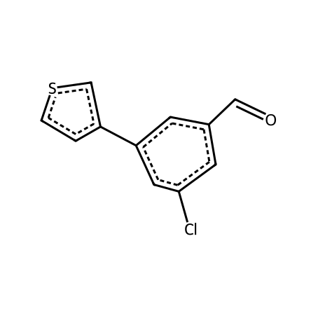 O=Cc1cc(Cl)cc(-c2ccsc2)c1